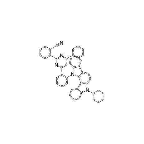 N#Cc1ccccc1-c1nc(-c2ccccc2)cc(-c2ccccc2-n2c3ccccc3c3ccc4c(c5ccccc5n4-c4ccccc4)c32)n1